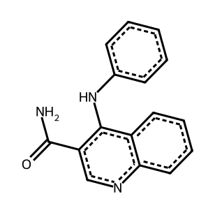 NC(=O)c1cnc2ccccc2c1Nc1ccccc1